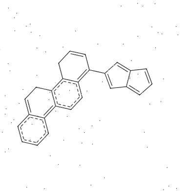 C1=CC2=CC(C3=c4ccc5c(c4CC=C3)CC=c3ccccc3=5)=CC2=C1